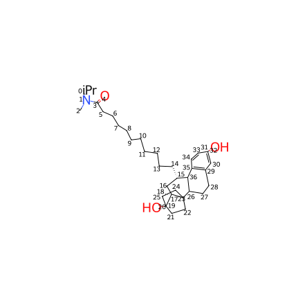 CC(C)N(C)C(=O)CCCCCCCCCC[C@H]1C[C@]2(C)C3(O)CCC2(CC3)C2CCc3cc(O)ccc3C21